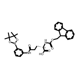 CC1(C)OB(c2cccc(NC(=O)CC[C@H](NC(=O)OCC3c4ccccc4-c4ccccc43)C(=O)O)c2)OC1(C)C